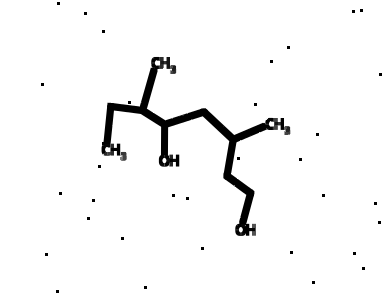 CCC(C)C(O)CC(C)CCO